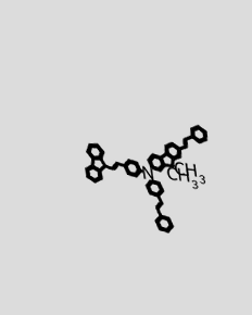 CC1(C)c2cc(/C=C/c3ccccc3)ccc2-c2ccc(N(c3ccc(/C=C/c4ccccc4)cc3)c3ccc(/C=C/C4c5ccccc5-c5ccccc54)cc3)cc21